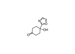 O=C1CCC(O)(c2ncco2)CC1